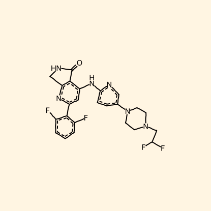 O=C1NCc2nc(-c3c(F)cccc3F)cc(Nc3ccc(N4CCN(CC(F)F)CC4)cn3)c21